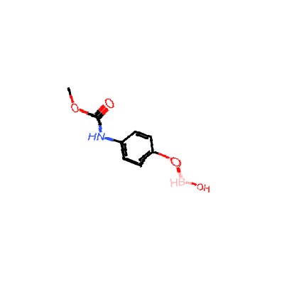 COC(=O)Nc1ccc(OBO)cc1